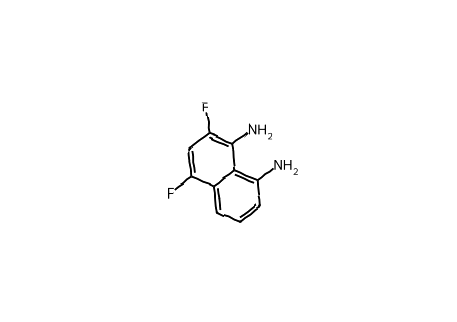 Nc1cccc2c(F)cc(F)c(N)c12